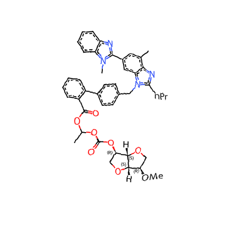 CCCc1nc2c(C)cc(-c3nc4ccccc4n3C)cc2n1Cc1ccc(-c2ccccc2C(=O)OC(C)OC(=O)O[C@@H]2CO[C@@H]3[C@H]2OC[C@H]3OC)cc1